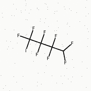 F[C](F)C(F)(F)C(F)(F)C(F)(F)I